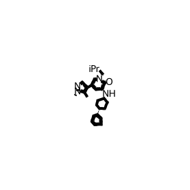 Cc1c(-c2cc(N[C@H]3CC[C@@H](c4ccccc4)CC3)c(=O)n(CC(C)C)c2)cnn1C